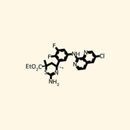 CCOC(=O)[C@@]1(C)C[C@@](C)(c2cc(Nc3nccc4cc(Cl)cnc34)cc(F)c2F)N=C(N)S1